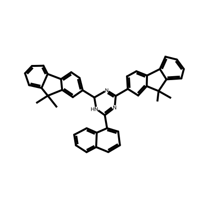 CC1(C)c2ccccc2-c2ccc(C3=NC(c4ccc5c(c4)C(C)(C)c4ccccc4-5)NC(c4cccc5ccccc45)=N3)cc21